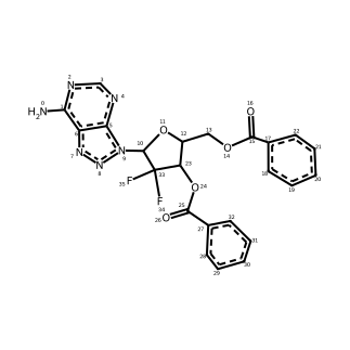 Nc1ncnc2c1nnn2C1OC(COC(=O)c2ccccc2)C(OC(=O)c2ccccc2)C1(F)F